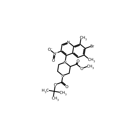 COC(=O)C1CN(C(=O)OC(C)(C)C)CCN1c1c([N+](=O)[O-])cnc2c(C)c(Br)c(C)cc12